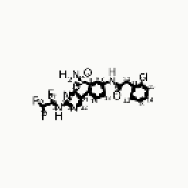 NS(=O)(=O)c1cc(NC(=O)Cc2ccccc2Cl)ccc1-c1cnc(NC(F)C(F)F)nc1